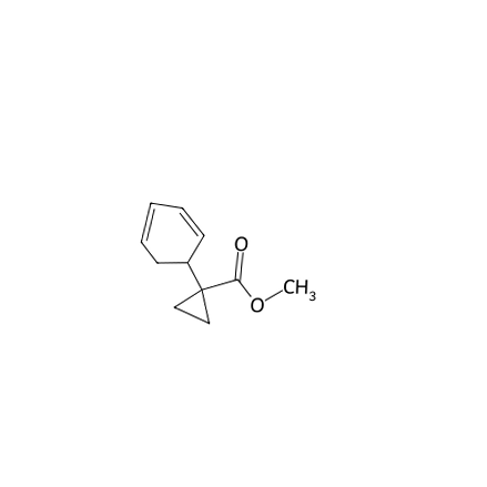 COC(=O)C1(C2C=CC=CC2)CC1